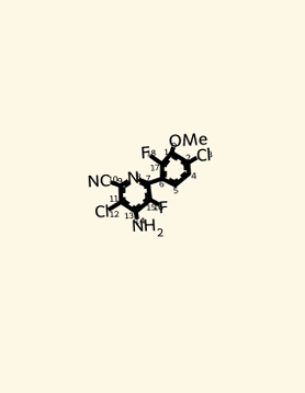 COc1c(Cl)ccc(-c2nc(C#N)c(Cl)c(N)c2F)c1F